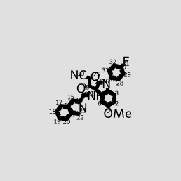 COc1ccc2c(c1)C(CCC#N)(NC(=O)c1cc3ccccc3cn1)C(=O)N2c1ccc(F)cc1